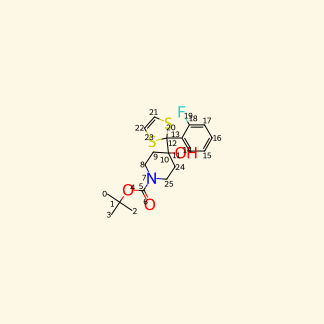 CC(C)(C)OC(=O)N1CCC(O)(C2(c3ccccc3F)SC=CS2)CC1